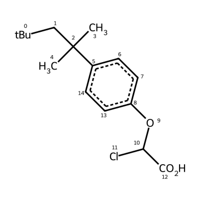 CC(C)(C)CC(C)(C)c1ccc(OC(Cl)C(=O)O)cc1